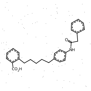 O=C(Cc1ccccc1)Nc1ccc(CCCCCc2ccccc2C(=O)O)cc1